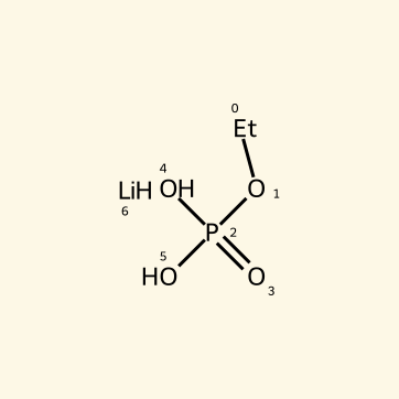 CCOP(=O)(O)O.[LiH]